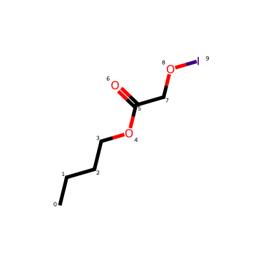 CCCCOC(=O)COI